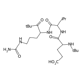 CC(C)C(NC(=O)C(CCC(=O)O)NC(C)(C)C)C(=O)NC(CCCNC(N)=O)C(=O)C(C)(C)C